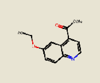 COC(=O)c1ccnc2ccc(OCC(C)=O)cc12